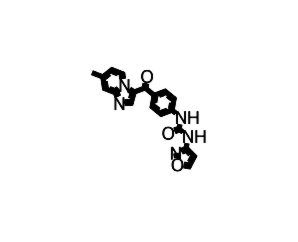 Cc1ccn2c(C(=O)c3ccc(NC(=O)Nc4ccon4)cc3)cnc2c1